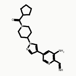 N=Cc1ncc(-c2cnn(C3CCN(C(=O)C4CCCC4)CC3)c2)cc1N